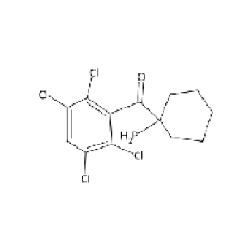 O=C(c1c(Cl)c(Cl)cc(Cl)c1Cl)C1(P)CCCCC1